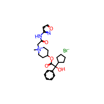 C[N+]1(CC(=O)Nc2ccon2)CCC(OC(=O)C(O)(c2ccccc2)C2CCCC2)CC1.[Br-]